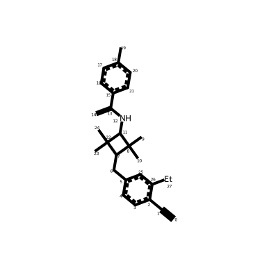 C#Cc1ccc(CC2C(C)(C)C(NC(=C)c3ccc(C)cc3)C2(C)C)cc1CC